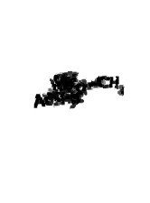 CC#Cc1cc(C)c(C2=C(OS(=O)(=O)CC)CC3(CCN(C(C)=O)CC3)CC2=O)c(C)c1